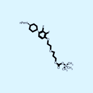 CCCCC[C@H]1CC[C@H](c2ccc(OCCOCCCOC(=O)O[Si](C)(C)C)c(F)c2F)CC1